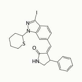 O=C1NCC(c2ccccc2)C1=Cc1ccc2c(I)nn(C3CCCCS3)c2c1